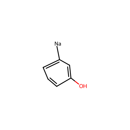 Oc1ccc[c]([Na])c1